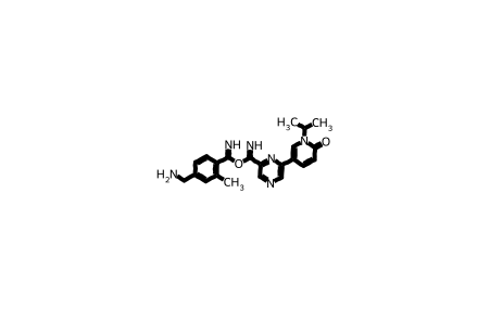 Cc1cc(CN)ccc1C(=N)OC(=N)c1cncc(-c2ccc(=O)n(C(C)C)c2)n1